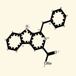 COC(=O)c1cc2c([nH]c3ccccc32)c(Cc2ccccc2)n1